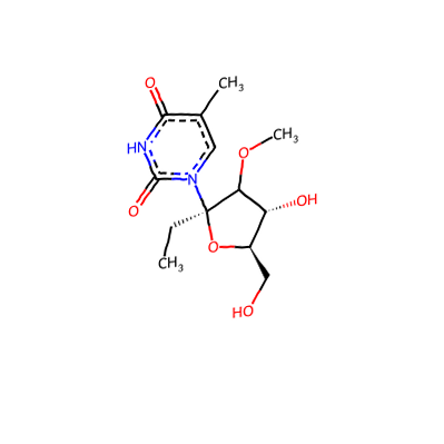 CC[C@@]1(n2cc(C)c(=O)[nH]c2=O)O[C@H](CO)[C@@H](O)C1OC